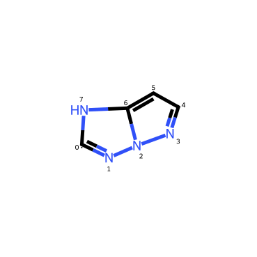 [c]1nn2nccc2[nH]1